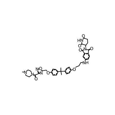 CN1CCN(C(=O)c2noc(COc3ccc(C(C)(C)c4ccc(OCCCNc5ccc6c(c5)C(=O)N(C5CCC(=O)NC5=O)C6=O)cc4)cc3)n2)CC1